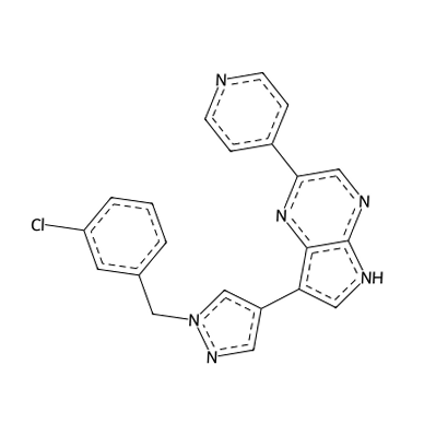 Clc1cccc(Cn2cc(-c3c[nH]c4ncc(-c5ccncc5)nc34)cn2)c1